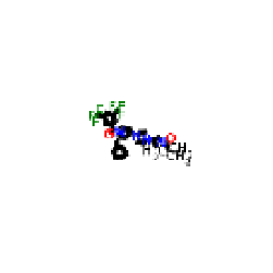 CC(C)(C)C(=O)N1CC(N2CCN([C@H]3CCN(C(=O)c4cc(C(F)(F)F)cc(C(F)(F)F)c4)[C@H](Cc4ccccc4)C3)CC2)C1